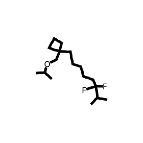 CC(C)OCC1(CCCCCC(F)(F)C(C)C)CCC1